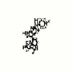 Cc1nc2ccc(-c3c[nH]c4nc(NC5CCN(C)CC5)ncc34)nc2n1CC(F)F